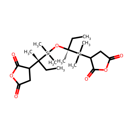 CC[C@](C)(C1CC(=O)OC1=O)[Si](C)(C)O[C@@](C)(CC)[Si](C)(C)C1CC(=O)OC1=O